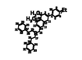 C=C1C=C(c2ccc(CC)cc2)Cc2cc(CP(CCc3ccccc3)CCc3ccccc3)cc(C)c21